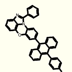 N#Cc1ccc(-c2c3ccccc3c(-c3ccc4c(c3)Oc3cccc5nc(-c6ccccc6)n-4c35)c3ccccc23)cc1